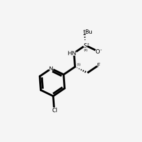 CC(C)(C)[S@+]([O-])N[C@H](CF)c1cc(Cl)ccn1